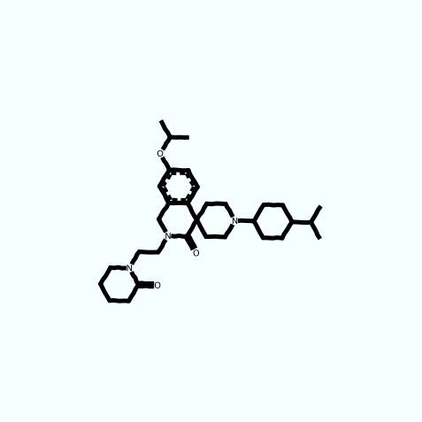 CC(C)Oc1ccc2c(c1)CN(CCN1CCCCC1=O)C(=O)C21CCN(C2CCC(C(C)C)CC2)CC1